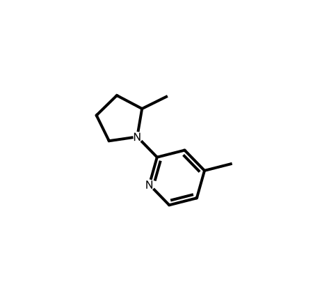 Cc1ccnc(N2CCCC2C)c1